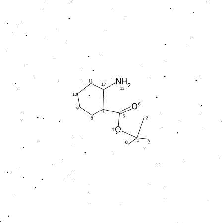 CC(C)(C)OC(=O)C1CCCCC1N